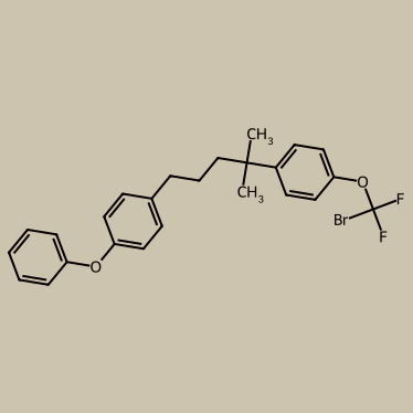 CC(C)(CCCc1ccc(Oc2ccccc2)cc1)c1ccc(OC(F)(F)Br)cc1